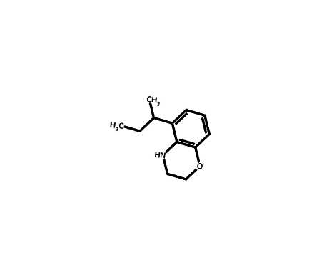 CCC(C)c1cccc2c1NCCO2